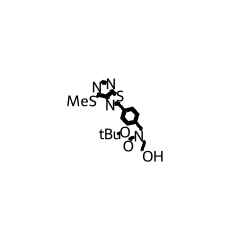 CSc1ncnc2sc(-c3ccc(CN(CCO)C(=O)OC(C)(C)C)cc3)nc12